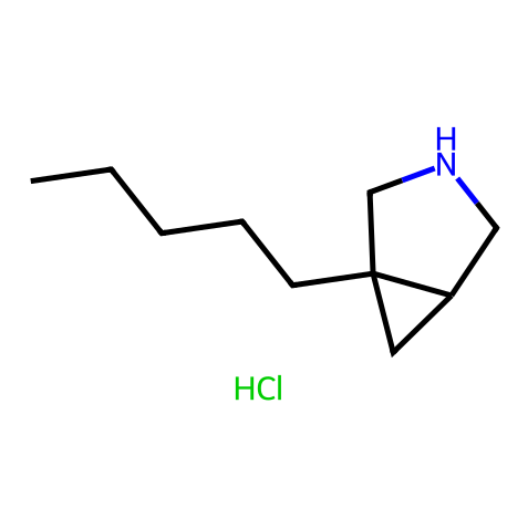 CCCCCC12CNCC1C2.Cl